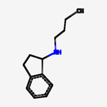 N#CCCCNC1CCc2ccccc21